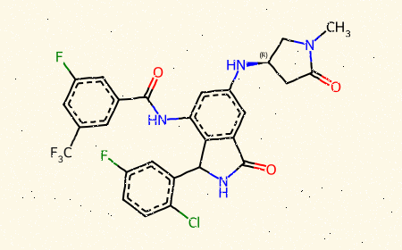 CN1C[C@H](Nc2cc(NC(=O)c3cc(F)cc(C(F)(F)F)c3)c3c(c2)C(=O)NC3c2cc(F)ccc2Cl)CC1=O